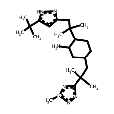 Cn1nnc(C(C)(C)CC2CCC(C(C)(C)Cc3cc(C(C)(C)C)[nH]n3)C(N)C2)n1